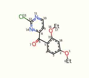 CCOc1ccc(C(=O)c2ccnc(Cl)n2)c(OCC)c1